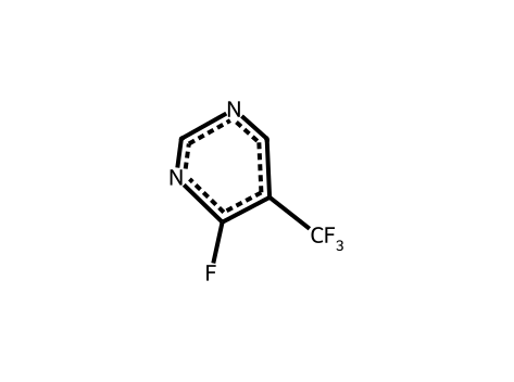 Fc1ncncc1C(F)(F)F